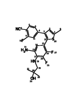 Cc1cc(-c2ccc(C#N)c(F)c2)c(-c2cc(N)c(NCC(C)(C)O)c(F)c2F)s1